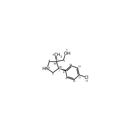 C[C@]1(CO)CNC[C@@H]1c1ccc(Cl)cc1